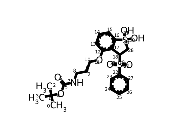 CC(C)(C)OC(=O)NCCCOc1cccc2c1C(S(=O)(=O)c1ccccc1)CS2(O)O